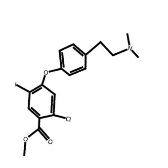 COC(=O)c1cc(I)c(Oc2ccc(CCN(C)C)cc2)cc1Cl